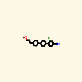 COC/C=C/C1CCC(C2CCC(c3ccc(C#N)cc3F)CC2)CC1